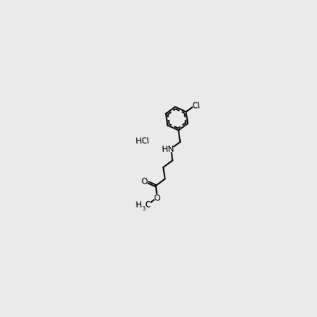 COC(=O)CCCNCc1cccc(Cl)c1.Cl